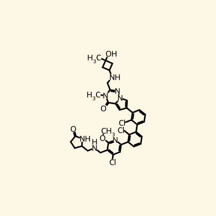 COc1nc(-c2cccc(-c3cccc(-c4cc5c(=O)n(C)c(CNC6CC(C)(O)C6)nn5c4)c3Cl)c2Cl)cc(Cl)c1CNCC1CCC(=O)N1